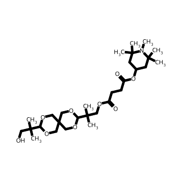 CN1C(C)(C)CC(OC(=O)CCC(=O)OCC(C)(C)C2OCC3(COC(C(C)(C)CO)OC3)CO2)CC1(C)C